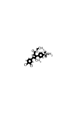 CCOC(=O)c1sc(-c2ccc(Cl)c(Cl)c2)c(C)c1-c1ccc(S(N)(=O)=O)cc1